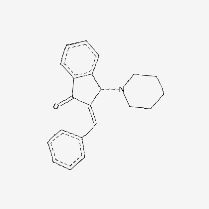 O=C1C(=Cc2ccccc2)C(N2CCCCC2)c2ccccc21